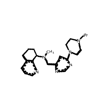 CC(C)N1CCN(c2cc(CN(C)C3CCCc4cccnc43)ncn2)CC1